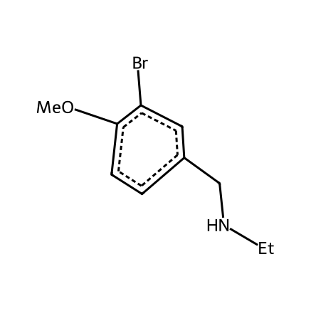 CCNCc1ccc(OC)c(Br)c1